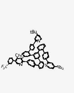 Cc1cc(-c2ccc(-c3ccccc3-c3cc(-c4ccccc4-c4ccc(-c5cc(C(C)(C)C)ccn5)cc4)cc(-c4ccccc4-c4ccc(-c5cc(C(C)(C)C)ccn5)cc4)c3)cc2)ncc1-c1cccc(C(F)(F)F)c1